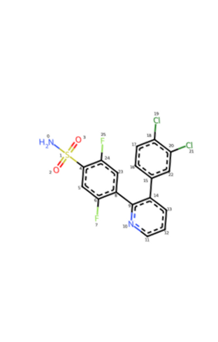 NS(=O)(=O)c1cc(F)c(-c2ncccc2-c2ccc(Cl)c(Cl)c2)cc1F